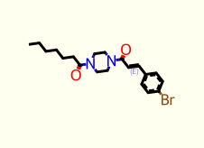 CCCCCCC(=O)N1CCN(C(=O)/C=C/c2ccc(Br)cc2)CC1